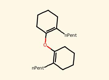 CCCCCC1=C(OC2=C(CCCCC)CCCC2)CCCC1